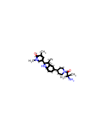 Cc1cc(-c2[nH]c3ccc(C4CCN(C(=O)C(C)(C)N)CC4)cc3c2C(C)C)cn(C)c1=O